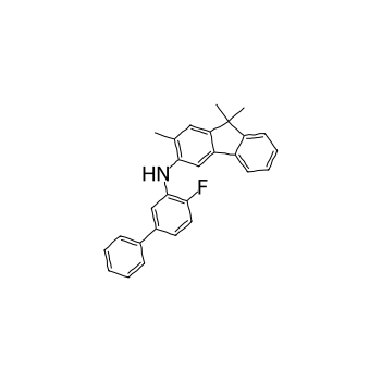 Cc1cc2c(cc1Nc1cc(-c3ccccc3)ccc1F)-c1ccccc1C2(C)C